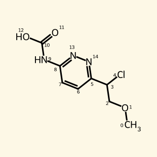 COCC(Cl)c1ccc(NC(=O)O)nn1